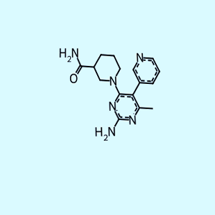 Cc1nc(N)nc(N2CCCC(C(N)=O)C2)c1-c1cccnc1